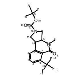 CN1C(=O)c2c(cccc2C(F)(F)F)C2CN(C(=O)OC(C)(C)C)CC21